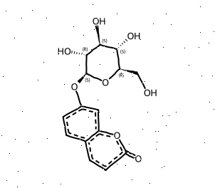 O=c1ccc2ccc(O[C@@H]3O[C@H](CO)[C@@H](O)[C@H](O)[C@H]3O)cc2o1